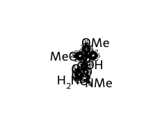 CNC(=O)CCO[C@@H]1[C@H](O)[C@@H](COC(c2ccccc2)(c2ccc(OC)cc2)c2ccc(OC)cc2)O[C@H]1n1cc(C)c(N)nc1=O